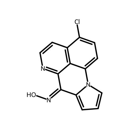 O/N=c1\c2nccc3c(Cl)ccc(c32)n2cccc12